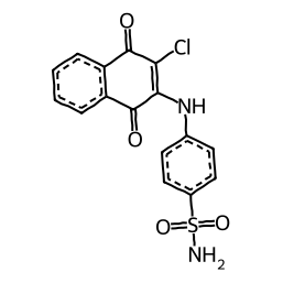 NS(=O)(=O)c1ccc(NC2=C(Cl)C(=O)c3ccccc3C2=O)cc1